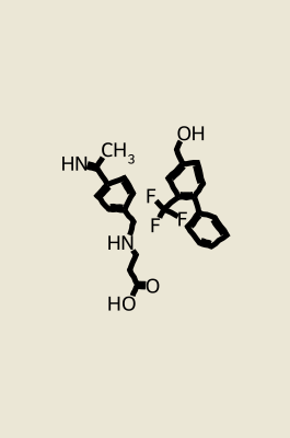 CC(=N)c1ccc(CNCCC(=O)O)cc1.OCc1ccc(-c2ccccc2)c(C(F)(F)F)c1